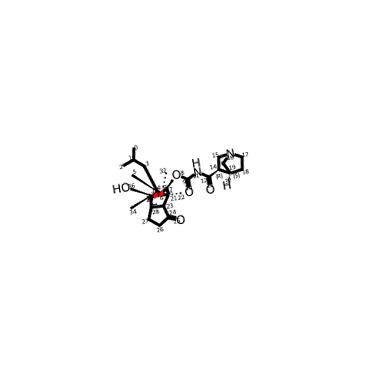 CC(C)C[C@]1(C)C[C@@H](OC(=O)NC(=O)[C@H]2CN3CC[C@@H]2C3)[C@@]2(C)C3C(=O)CCC3(CC[C@H]2C)[C@@H](C)[C@@H]1O